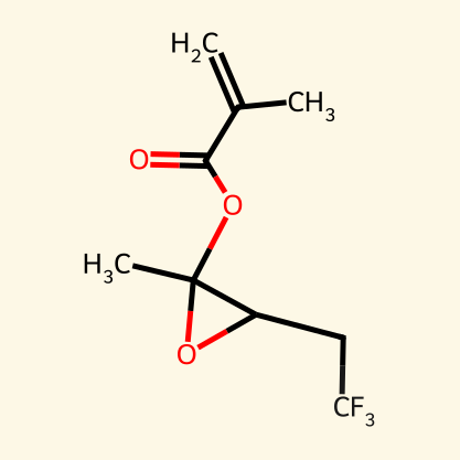 C=C(C)C(=O)OC1(C)OC1CC(F)(F)F